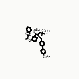 COc1ccc(-c2ccc(Cn3c(CC(C)(C)C(=O)O)c(SC(C)(C)C)c4cc(OC(C)c5nc6ccccc6s5)ccc43)cc2)nc1